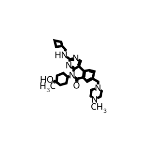 CN1CCN(Cc2ccc3c(c2)c(=O)n(C2CCC(C)(O)CC2)c2nc(NCC4CCC4)ncc32)CC1